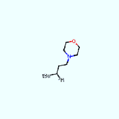 [2H]C(CCN1CCOCC1)C(C)(C)C